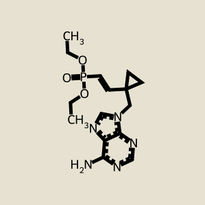 CCOP(=O)(C=CC1(Cn2cnc3c(N)ncnc32)CC1)OCC